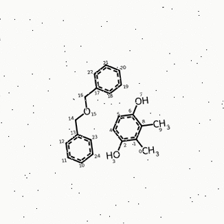 Cc1c(O)ccc(O)c1C.c1ccc(COCc2ccccc2)cc1